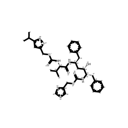 CC(C)c1cc(COC(=O)N[C@H](C(=O)N[C@@H](Cc2ccccc2)C[C@H](O)[C@H](Cc2ccccc2)NC(=O)OCc2cncs2)C(C)C)sn1